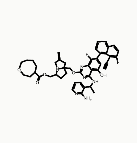 C#Cc1c(F)ccc2cccc(-c3cc(O)c4c(NC(C)c5cccnc5N)nc(OCC56CCC(COC(=O)C7CCCCOCC7)N5CC(=C)C6)nc4c3F)c12